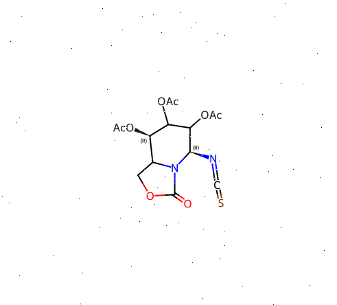 CC(=O)OC1C(OC(C)=O)[C@@H](N=C=S)N2C(=O)OCC2[C@H]1OC(C)=O